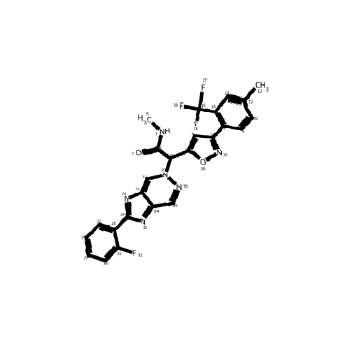 CNC(=O)C(c1cc(-c2ccc(C)cc2C(F)(F)F)no1)n1cc2nc(-c3ccccc3F)nc-2cn1